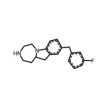 Fc1cccc(Cc2ccc3c(c2)CC2CCNCCN32)c1